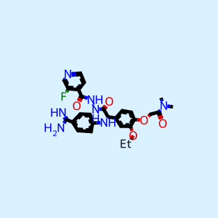 CCOc1cc(C(Nc2ccc(C(=N)N)cc2)C(=O)NNC(=O)c2ccncc2F)ccc1OCC(=O)N(C)C